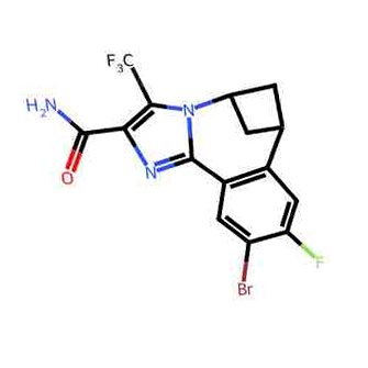 NC(=O)c1nc2n(c1C(F)(F)F)C1CC(C1)c1cc(F)c(Br)cc1-2